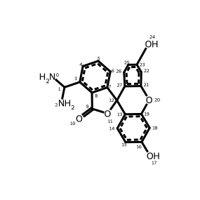 NC(N)c1cccc2c1C(=O)OC21c2ccc(O)cc2Oc2cc(O)ccc21